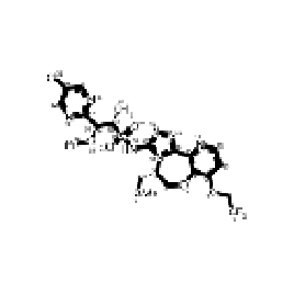 COC[C@H]1COc2c(OCC(F)(F)F)ccnc2-c2nnc(NS(=O)(=O)[C@@H](C)[C@@H](OC(C)C)c3ncc(Cl)cn3)n21